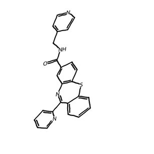 O=C(NCc1ccncc1)c1ccc2c(c1)N=C(c1ccccn1)c1ccccc1S2